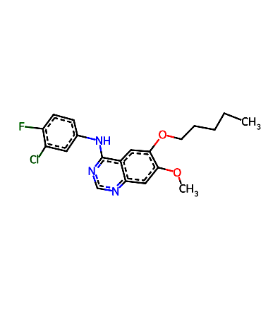 CCCCCOc1cc2c(Nc3ccc(F)c(Cl)c3)ncnc2cc1OC